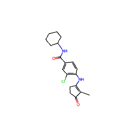 CC1=C(Nc2ccc(C(=O)NC3CCCCC3)cc2Cl)CCC1=O